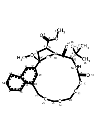 COC(=O)[C@@H]1C[C@]2(OC)CN1C(=O)[C@H](C(C)(C)C)NC(=O)OCCCCCCc1cc2cc2ccccc12